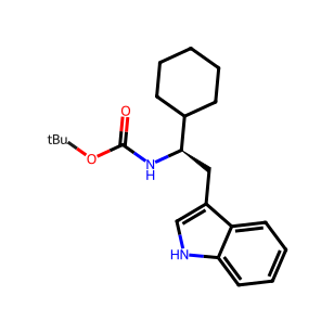 CC(C)(C)OC(=O)N[C@H](Cc1c[nH]c2ccccc12)C1CCCCC1